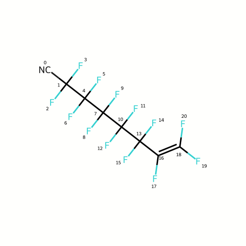 N#CC(F)(F)C(F)(F)C(F)(F)C(F)(F)C(F)(F)C(F)=C(F)F